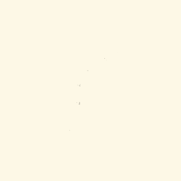 CN1Cc2c(Cl)cc(Cl)cc2[C@H](c2ccccc2NC(=O)NCC(=O)O)C1